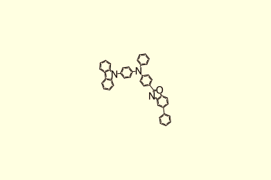 c1ccc(-c2ccc3oc(-c4ccc(N(c5ccccc5)c5ccc(-n6c7ccccc7c7ccccc76)cc5)cc4)nc3c2)cc1